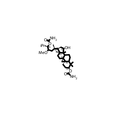 COC(C[C@@H](C)[C@H]1C[C@H](O)C2(C)C3CCC4C(C)(C)[C@@H](OC(N)=O)CC[C@@]45C[C@@]35CC[C@]12C)[C@H](OC(N)=O)C(C)C